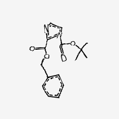 CC(C)(C)OC(=O)n1ccnc1C(=O)OCc1ccccc1